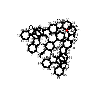 N#Cc1c(-n2c3ccccc3c3ccccc32)c(-n2c3cc4c(cc3c3cc5oc6ccccc6c5cc32)oc2ccccc24)c(-c2ccccc2)c(-n2c3cc4c(cc3c3cc5oc6ccccc6c5cc32)oc2ccccc24)c1-n1c2ccccc2c2ccccc21